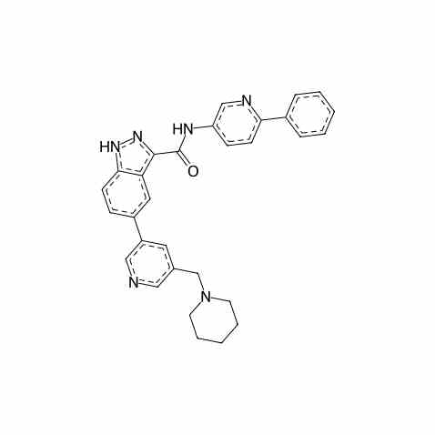 O=C(Nc1ccc(-c2ccccc2)nc1)c1n[nH]c2ccc(-c3cncc(CN4CCCCC4)c3)cc12